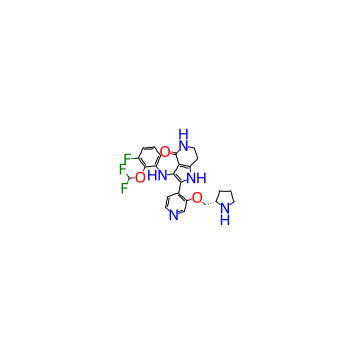 O=C1NCCc2[nH]c(-c3ccncc3OC[C@@H]3CCCN3)c(Nc3cccc(F)c3OC(F)F)c21